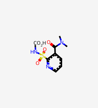 CN(C)C(=O)c1cccnc1S(=O)(=O)NC(=O)O